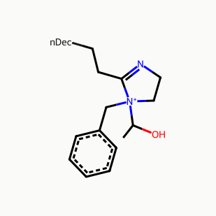 CCCCCCCCCCCCC1=NCC[N+]1(Cc1ccccc1)C(C)O